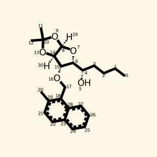 CCCC[C@H](O)[C@H]1O[C@@H]2OC(C)(C)O[C@@H]2[C@H]1OCc1c(C)ccc2ccccc12